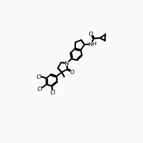 CC1(c2cc(Cl)c(Cl)c(Cl)c2)CCN(c2ccc3c(c2)CCC3NC(=O)C2CC2)C1=O